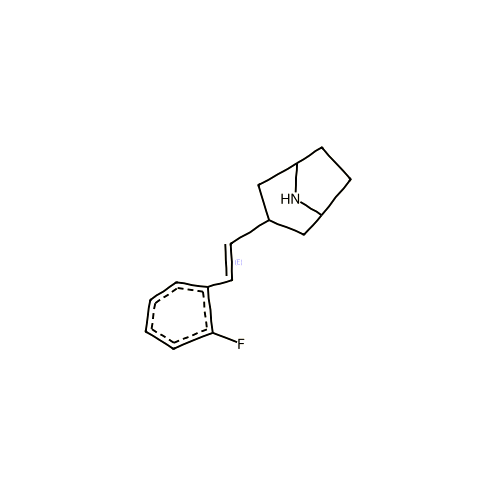 Fc1ccccc1/C=C/C1CC2CCC(C1)N2